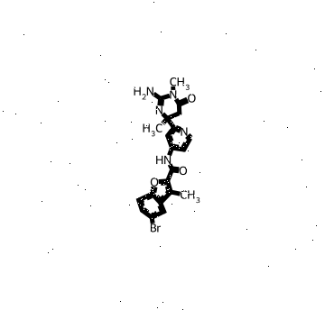 Cc1c(C(=O)Nc2ccnc(C3(C)CC(=O)N(C)C(N)=N3)c2)oc2ccc(Br)cc12